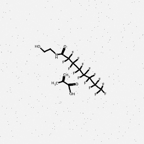 C=C(C)C(=O)O.O=C(NCCO)C(F)(F)C(F)(F)C(F)(F)C(F)(F)C(F)(F)C(F)(F)C(F)(F)F